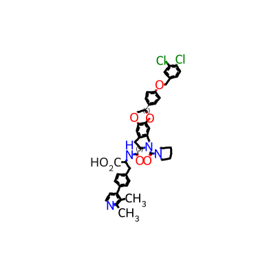 Cc1nccc(-c2ccc(CC(NC(=O)[C@@H]3Cc4cc5c(cc4CN3C(=O)N3CCCCC3)O[C@@H](c3ccc(OCc4ccc(Cl)c(Cl)c4)cc3)CO5)C(=O)O)cc2)c1C